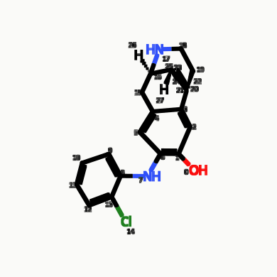 Oc1cc2c(cc1Nc1ccccc1Cl)C[C@H]1NCC[C@@]23CCCC[C@@H]13